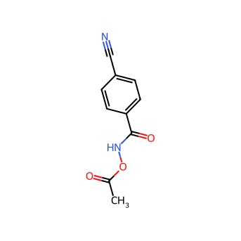 CC(=O)ONC(=O)c1ccc(C#N)cc1